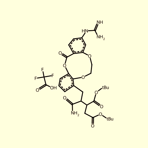 CC(C)(C)OC(=O)CC(C(=O)OC(C)(C)C)C(Cc1cccc2c1OCCOc1cc(NC(=N)N)ccc1C(=O)O2)C(N)=O.O=C(O)C(F)(F)F